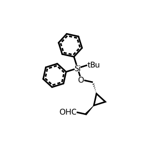 CC(C)(C)[Si](OC[C@@H]1C[C@H]1CC=O)(c1ccccc1)c1ccccc1